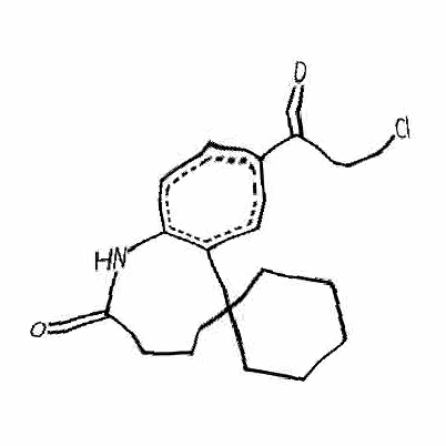 O=C1CCC2(CCCCC2)c2cc(C(=O)CCl)ccc2N1